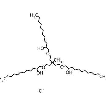 CCCCCCCCCCC(O)COCC[N+](C)(CCOCC(O)CCCCCCCCCC)CCOCC(O)CCCCCCCCCC.[Cl-]